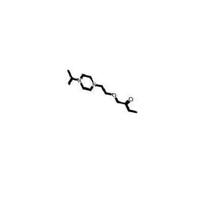 CCC(=O)COCCN1CCN(C(C)C)CC1